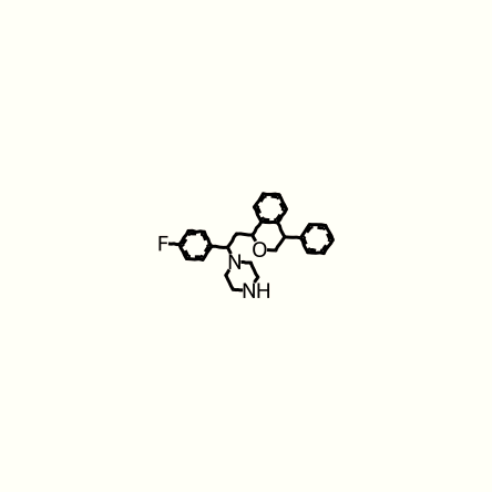 Fc1ccc(C(CC2OCC(c3ccccc3)c3ccccc32)N2CCNCC2)cc1